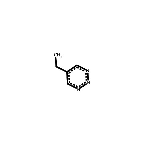 CCc1cnnnc1